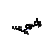 C=CC(O)CCC/C(C)=C/C=C1\CCCC2(C)C1CC[C@@H]2CCN1CCNNC(C(F)(F)F)C1